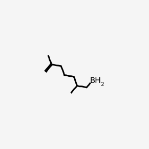 BCC(C)CCCC(=C)C